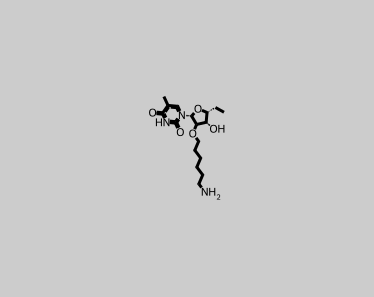 CC[C@H]1O[C@@H](n2cc(C)c(=O)[nH]c2=O)C(OCCCCCCN)[C@H]1O